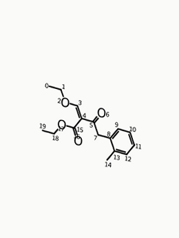 CCOC=C(C(=O)Cc1ccccc1C)C(=O)OCC